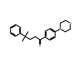 CC(C)(CCC(=O)c1ccc(N2CCOCC2)cc1)c1ccccc1